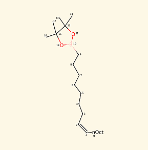 CCCCCCCC/C=C\CCCCCCCB1OC(C)(C)C(C)(C)O1